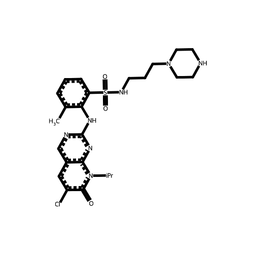 Cc1cccc(S(=O)(=O)NCCCN2CCNCC2)c1Nc1ncc2cc(Cl)c(=O)n(C(C)C)c2n1